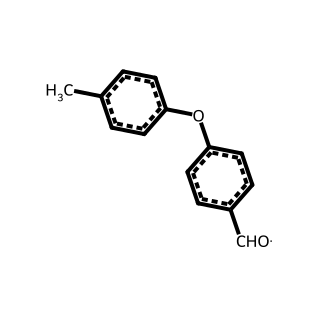 Cc1ccc(Oc2ccc([C]=O)cc2)cc1